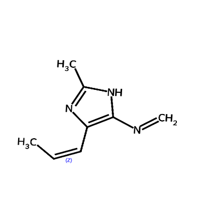 C=Nc1[nH]c(C)nc1/C=C\C